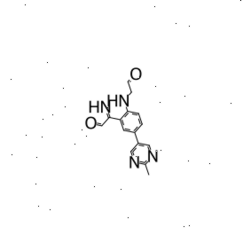 Cc1ncc(-c2ccc(NCC=O)c(C(=N)C=O)c2)cn1